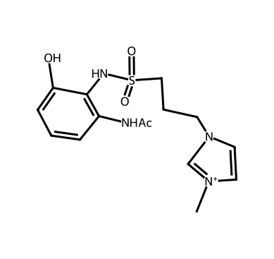 CC(=O)Nc1cccc(O)c1NS(=O)(=O)CCCn1cc[n+](C)c1